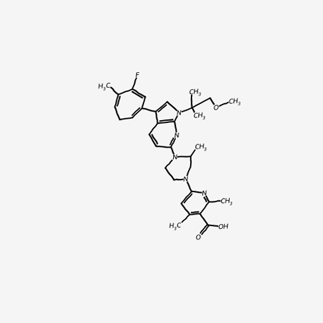 COCC(C)(C)n1cc(C2=CCC=C(C)C(F)=C2)c2ccc(N3CCN(c4cc(C)c(C(=O)O)c(C)n4)CC3C)nc21